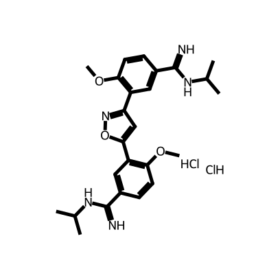 COc1ccc(C(=N)NC(C)C)cc1-c1cc(-c2cc(C(=N)NC(C)C)ccc2OC)on1.Cl.Cl